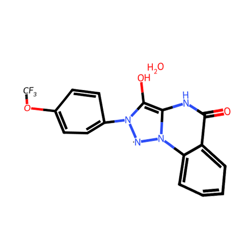 O.O=C1NC2=C(O)N(c3ccc(OC(F)(F)F)cc3)[N]N2c2ccccc21